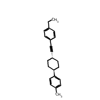 CCc1ccc(C#C[C@H]2CC[C@H](c3ccc(C)cc3)CC2)cc1